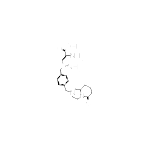 N/C(=C\N(N)Cc1ccc(CN2CCN3C(=O)CCCC3C2)cc1)C(=O)O